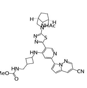 COC(=O)NCC1CC(Nc2cc(-c3ccc4cc(C#N)cnn34)ncc2-c2nnc(N3C[C@H]4CC[C@@H](C3)C4NC(C)=O)s2)C1